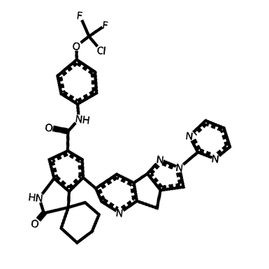 O=C(Nc1ccc(OC(F)(F)Cl)cc1)c1cc2c(c(-c3cnc4c(c3)-c3nn(-c5ncccn5)cc3C4)c1)C1(CCCCC1)C(=O)N2